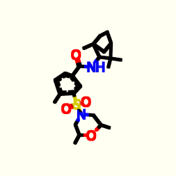 Cc1ccc(C(=O)NC2C3(C)CCC(C3)C2(C)C)cc1S(=O)(=O)N1CC(C)OC(C)C1